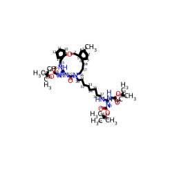 Cc1ccc2c(c1)COc1ccccc1CN/C(=N\C(=O)OC(C)(C)C)NC(=O)N(CCCCCCCCN/C(=N\C(=O)OC(C)(C)C)NC(=O)OC(C)(C)C)CCC2